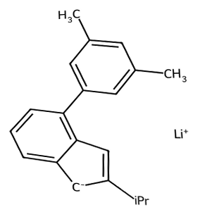 Cc1cc(C)cc(-c2cccc3[cH-]c(C(C)C)cc23)c1.[Li+]